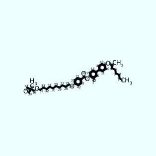 CCCCCC[C@@H](C)Oc1ccc(-c2ccc(OC(=O)c3ccc(OCCCCCCCCCCOCC4(C)COC4)cc3)c(F)c2)cc1